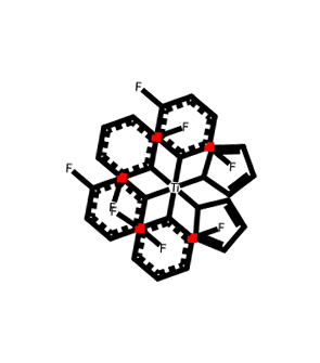 Fc1ccc(F)[c]([Ti]([c]2cc(F)ccc2F)([c]2c(F)cccc2F)([c]2c(F)cccc2F)([CH]2C=CC=C2)[CH]2C=CC=C2)c1